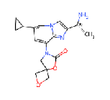 C[C@@H](N)c1cn2cc(C3CC3)cc(N3CC4(COC4)OC3=O)c2n1